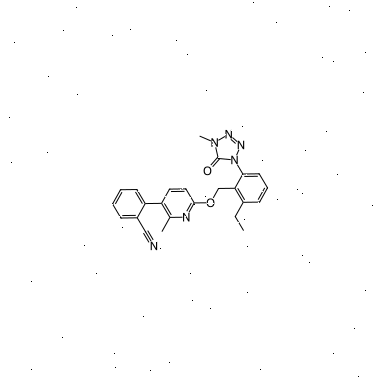 CCc1cccc(-n2nnn(C)c2=O)c1COc1ccc(-c2ccccc2C#N)c(C)n1